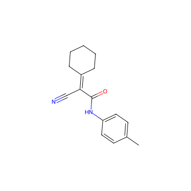 Cc1ccc(NC(=O)C(C#N)=C2CCCCC2)cc1